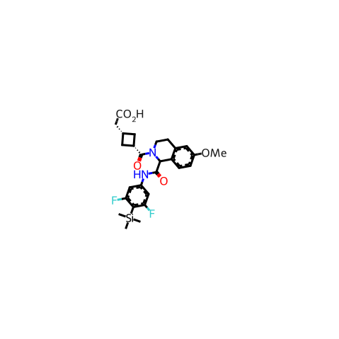 COc1ccc2c(c1)CCN(C(=O)[C@H]1C[C@@H](CC(=O)O)C1)C2C(=O)Nc1cc(F)c([Si](C)(C)C)c(F)c1